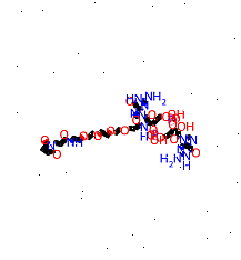 Nc1nc2c(ncn2C2OC3COP(=O)(O)OC4C(COP(=O)(O)OC3C2O)OC(n2cnc3c(=O)[nH]c(N)nc32)C4NC(=O)CCOCCOCCOCCOCCNC(=O)CCN2C(=O)C=CC2=O)c(=O)[nH]1